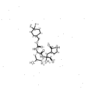 CC(C)C[C@H](NC(=O)OCC1CCC(F)(F)CC1)C(=O)NC(C)(C=O)CC1CCNC1=O